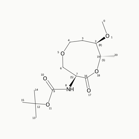 CO[C@@H]1CCOC[C@H](NC(=O)OC(C)(C)C)C(=O)O[C@H]1C